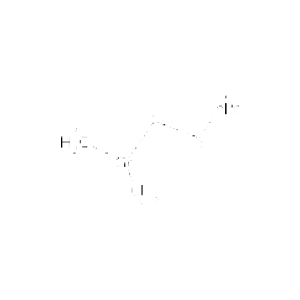 CCCC[CH2][Ge]([CH3])[CH3]